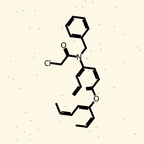 C=C/C=C(\C=C/C(=C)OC(/C=C\C)=C/C=C\C)N(Cc1ccccc1)C(=O)CCl